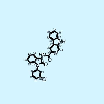 O=C(NC1C(=O)N(c2cccc(Cl)c2)c2ccccc21)c1cc2c(cn1)[nH]c1ccccc12